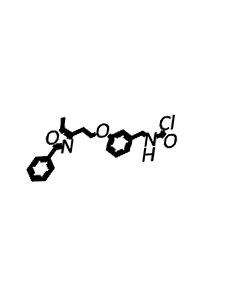 Cc1oc(-c2ccccc2)nc1CCOc1cccc(CNC(=O)Cl)c1